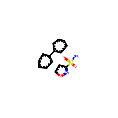 NS(=O)(=O)c1ccon1.c1ccc(-c2ccccc2)cc1